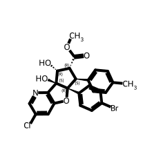 COC(=O)[C@H]1[C@@H](O)[C@@]2(O)c3ncc(Cl)cc3O[C@@]2(c2ccc(Br)cc2)[C@@H]1c1ccc(C)cc1